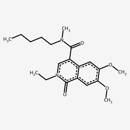 CCCCCN(C)C(=O)c1cn(CC)c(=O)c2cc(OC)c(OC)cc12